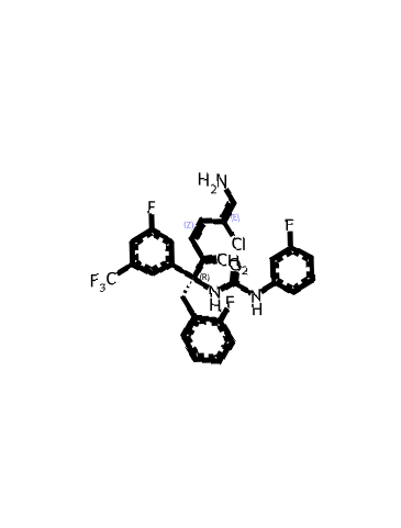 C=C(/C=C\C(Cl)=C/N)[C@@](Cc1ccccc1F)(NC(=O)Nc1cccc(F)c1)c1cc(F)cc(C(F)(F)F)c1